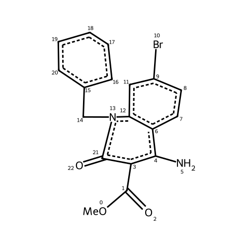 COC(=O)c1c(N)c2ccc(Br)cc2n(Cc2ccccc2)c1=O